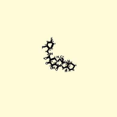 CCC12Cn3cc(C(=O)NCc4ccc(F)cc4F)c(=O)c(O)c3C(=O)N1C[C@@H]1CCCC[C@@H]1O2